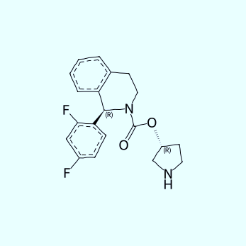 O=C(O[C@@H]1CCNC1)N1CCc2ccccc2[C@@H]1c1ccc(F)cc1F